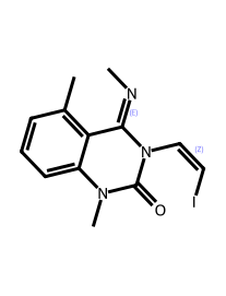 C/N=c1\c2c(C)cccc2n(C)c(=O)n1/C=C\I